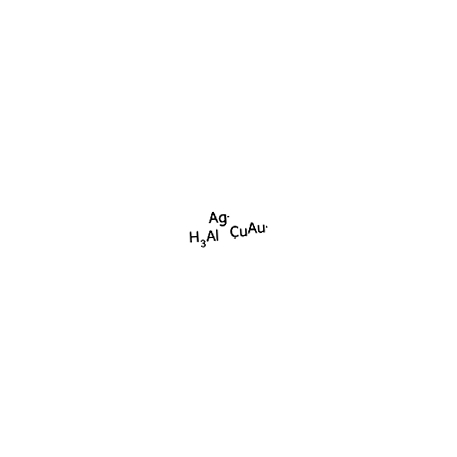 [Ag].[AlH3].[Au].[Cu]